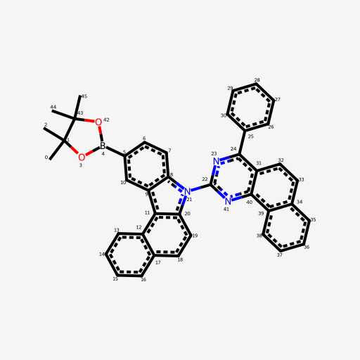 CC1(C)OB(c2ccc3c(c2)c2c4ccccc4ccc2n3-c2nc(-c3ccccc3)c3ccc4ccccc4c3n2)OC1(C)C